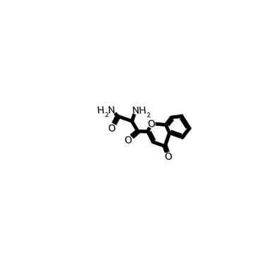 NC(=O)C(N)C(=O)c1cc(=O)c2ccccc2o1